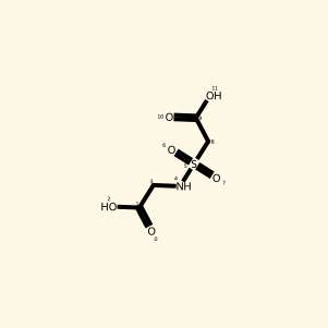 O=C(O)CNS(=O)(=O)CC(=O)O